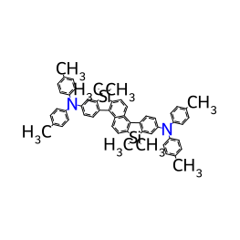 Cc1ccc(N(c2ccc(C)cc2)c2ccc3c(c2)[Si](C)(C)c2ccc4c5c(ccc4c2-3)[Si](C)(C)c2cc(N(c3ccc(C)cc3)c3ccc(C)cc3)ccc2-5)cc1